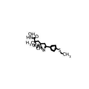 CCSc1ccc(C2=NOC(CC(C)(C(=O)NO)S(C)(=O)=O)C2)cc1